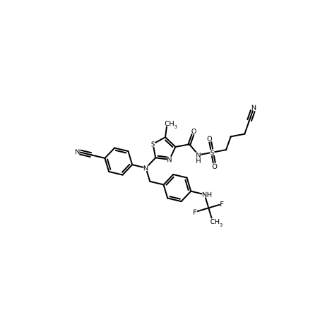 Cc1sc(N(Cc2ccc(NC(C)(F)F)cc2)c2ccc(C#N)cc2)nc1C(=O)NS(=O)(=O)CCCC#N